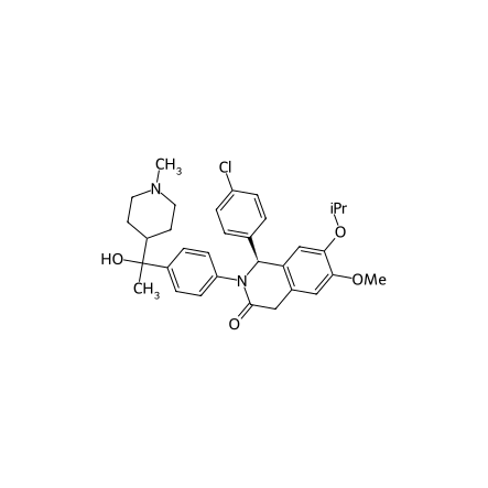 COc1cc2c(cc1OC(C)C)[C@H](c1ccc(Cl)cc1)N(c1ccc(C(C)(O)C3CCN(C)CC3)cc1)C(=O)C2